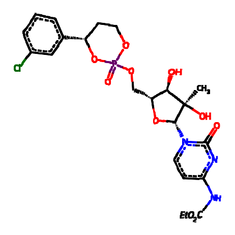 CCOC(=O)Nc1ccn([C@@H]2O[C@H](COP3(=O)OCC[C@@H](c4cccc(Cl)c4)O3)[C@@H](O)[C@@]2(C)O)c(=O)n1